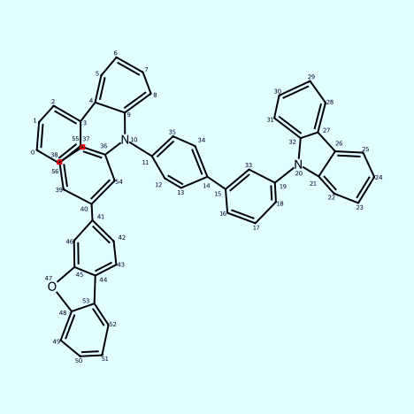 c1ccc(-c2ccccc2N(c2ccc(-c3cccc(-n4c5ccccc5c5ccccc54)c3)cc2)c2cccc(-c3ccc4c(c3)oc3ccccc34)c2)cc1